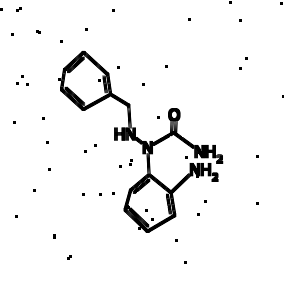 NC(=O)N(NCc1ccccc1)c1ccccc1N